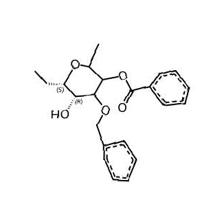 CC[C@@H]1OC(C)C(OC(=O)c2ccccc2)C(OCc2ccccc2)[C@@H]1O